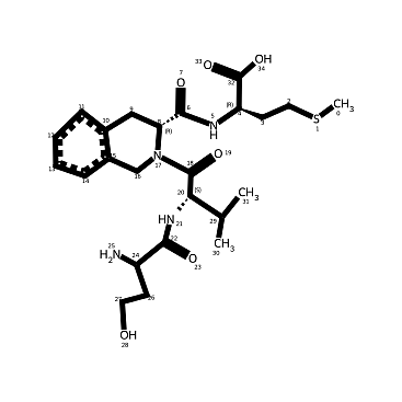 CSCC[C@@H](NC(=O)[C@H]1Cc2ccccc2CN1C(=O)[C@@H](NC(=O)C(N)CCO)C(C)C)C(=O)O